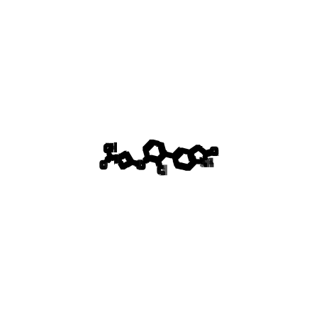 O=C1Cc2cc(-c3cccc(OC4CN(C(=O)O)C4)c3Cl)ccc2N1